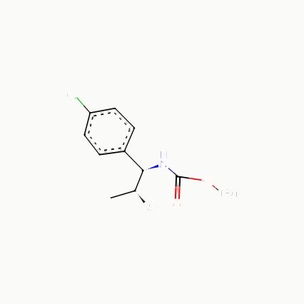 CC(=O)[C@@H](C)[C@H](NC(=O)OC(C)(C)C)c1ccc(Cl)cc1